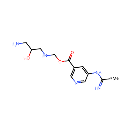 CSC(=N)Nc1cncc(C(=O)OCNCC(O)CN)c1